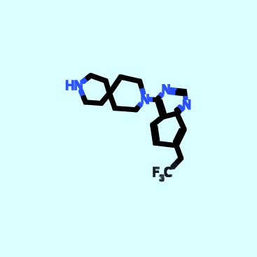 FC(F)(F)Cc1ccc2c(N3CCC4(CCNCC4)CC3)ncnc2c1